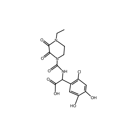 CCN1CCN(C(=O)NC(C(=O)O)c2cc(O)c(O)cc2Cl)C(=O)C1=O